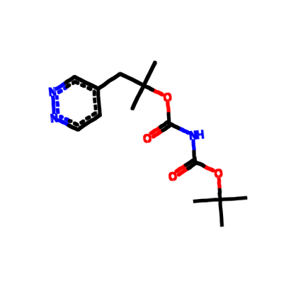 CC(C)(C)OC(=O)NC(=O)OC(C)(C)Cc1ccnnc1